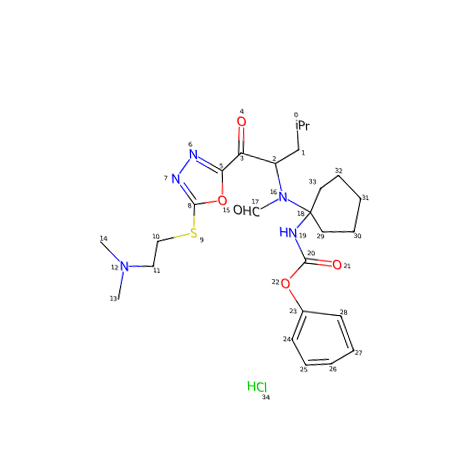 CC(C)CC(C(=O)c1nnc(SCCN(C)C)o1)N(C=O)C1(NC(=O)Oc2ccccc2)CCCCC1.Cl